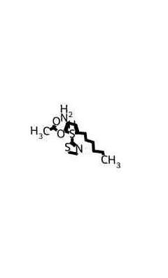 CCCCCCC1=CC(N)=C(OC(C)=O)[SH]1C1=NCCS1